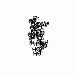 C=Cc1cc(C(=O)Nc2ccc(C(=N)NC(=O)OCC(O)CO)cc2)c(-c2ccc(C(=O)NCC3CC3)nc2C(=O)OC(C)OC(=O)OC(C)C)cc1OC